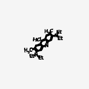 CCN(CC)c1cc2nc3cc(N(CC)CC)c(C)cc3cc2cc1C.Cl